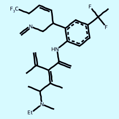 C=NCC(/C=C\CC(F)(F)F)c1cc(C(C)(F)F)ccc1NC(=C)/C(C(=C)C)=C(\C)C(C)N(C)CC